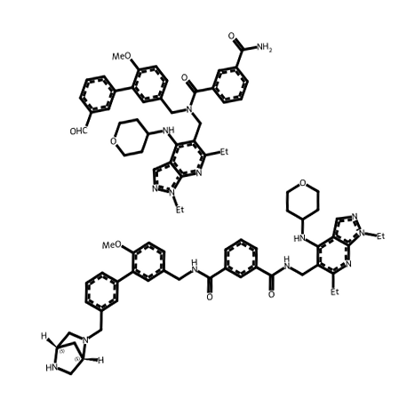 CCc1nc2c(cnn2CC)c(NC2CCOCC2)c1CN(Cc1ccc(OC)c(-c2cccc(C=O)c2)c1)C(=O)c1cccc(C(N)=O)c1.CCc1nc2c(cnn2CC)c(NC2CCOCC2)c1CNC(=O)c1cccc(C(=O)NCc2ccc(OC)c(-c3cccc(CN4C[C@@H]5C[C@H]4CN5)c3)c2)c1